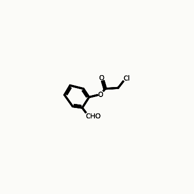 O=Cc1ccccc1OC(=O)CCl